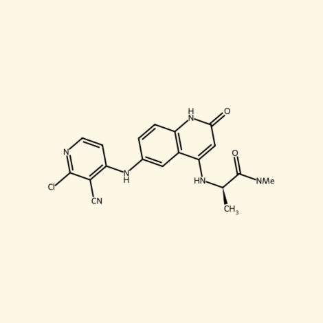 CNC(=O)[C@@H](C)Nc1cc(=O)[nH]c2ccc(Nc3ccnc(Cl)c3C#N)cc12